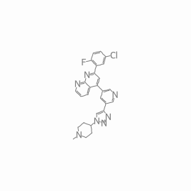 CN1CCC(n2cc(-c3cncc(-c4cc(-c5cc(Cl)ccc5F)nc5ncccc45)c3)nn2)CC1